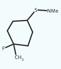 CNSC1CCC(C)(F)CC1